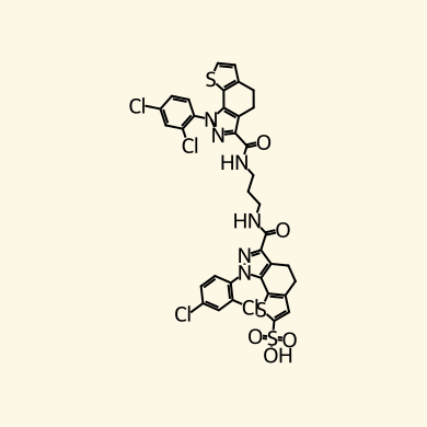 O=C(NCCCNC(=O)c1nn(-c2ccc(Cl)cc2Cl)c2c1CCc1cc(S(=O)(=O)O)sc1-2)c1nn(-c2ccc(Cl)cc2Cl)c2c1CCc1ccsc1-2